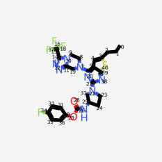 CCCc1cc2c(N3CCn4c(nnc4C(F)(F)F)C3)nc(N3CCC(NC(=O)Oc4ccc(F)cc4)C3)nc2s1